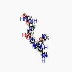 O=C1CCC(Nc2ccc(N3CCC(O)(CC(=O)N4CCC(n5cc(C6(N7CCC(Oc8ccccn8)CC7)C=CC(c7cn[nH]c7)=CN6)cn5)CC4)CC3)c(F)c2)C(=O)N1